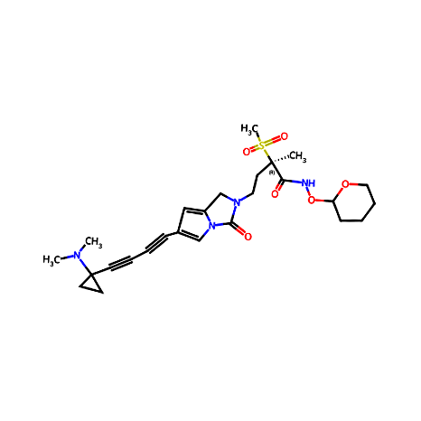 CN(C)C1(C#CC#Cc2cc3n(c2)C(=O)N(CC[C@](C)(C(=O)NOC2CCCCO2)S(C)(=O)=O)C3)CC1